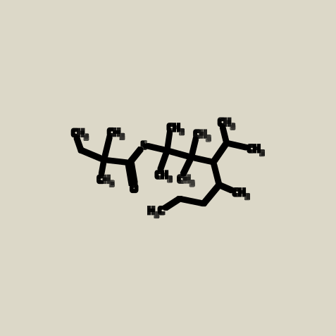 CCCC(C)C(C(C)C)C(C)(C)C(C)(C)SC(=O)C(C)(C)CC